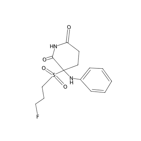 O=C1CCC(Nc2ccccc2)(S(=O)(=O)CCCF)C(=O)N1